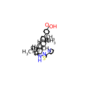 C=C(C)[C@@H]1CC[C@]2(Nc3nc(-c4ccccn4)cs3)CC[C@]3(C)[C@H](CC[C@@H]4[C@@]5(C)CC=C(c6ccc(C(=O)O)cc6)C(C)(C)[C@@H]5CC[C@]43C)[C@@H]12